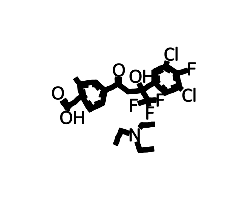 CCN(CC)CC.Cc1cc(C(=O)CC(O)(c2cc(Cl)c(F)c(Cl)c2)C(F)(F)F)ccc1C(=O)O